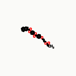 C=CC(=O)OCCCCOc1ccc(C(=O)Oc2ccc(OC(=O)c3ccc4ccccc4c3)cc2)cc1